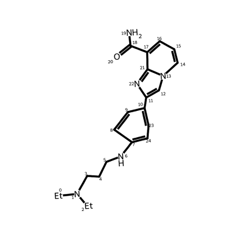 CCN(CC)CCCNc1ccc(-c2cn3cccc(C(N)=O)c3n2)cc1